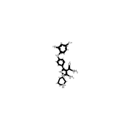 NC(=O)c1c(-c2ccc(Oc3ccc(F)cc3F)cc2)nn(C2CCCNC2)c1N